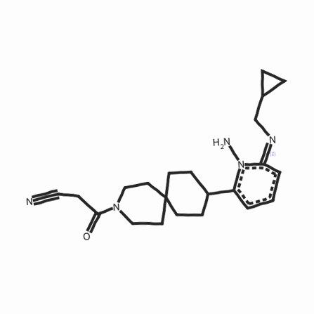 N#CCC(=O)N1CCC2(CCC(c3ccc/c(=N/CC4CC4)n3N)CC2)CC1